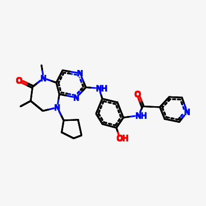 CC1CN(C2CCCC2)c2nc(Nc3ccc(O)c(NC(=O)c4ccncc4)c3)ncc2N(C)C1=O